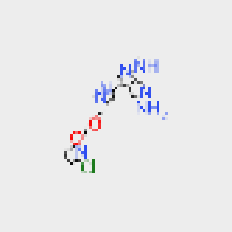 CNc1ncc(-c2cc(CCOCCOc3cccc(Cl)n3)n(C)n2)c2cc(N)ncc12